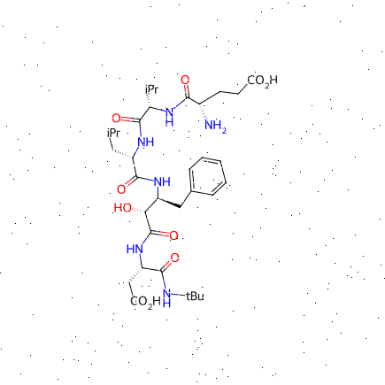 CC(C)C[C@H](NC(=O)[C@@H](NC(=O)[C@@H](N)CCC(=O)O)C(C)C)C(=O)N[C@@H](Cc1ccccc1)[C@@H](O)C(=O)N[C@@H](CC(=O)O)C(=O)NC(C)(C)C